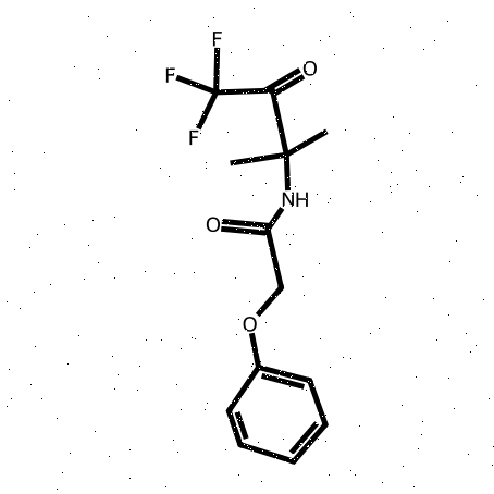 CC(C)(NC(=O)COc1ccccc1)C(=O)C(F)(F)F